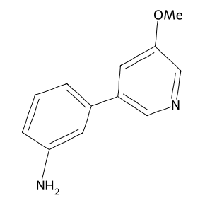 COc1cncc(-c2cccc(N)c2)c1